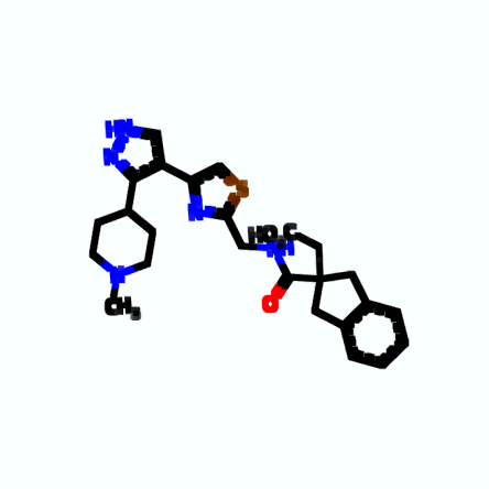 CN1CCC(c2n[nH]cc2-c2csc(CNC(=O)C3(CC(=O)O)Cc4ccccc4C3)n2)CC1